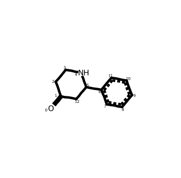 O=C1CCNC(c2ccccc2)C1